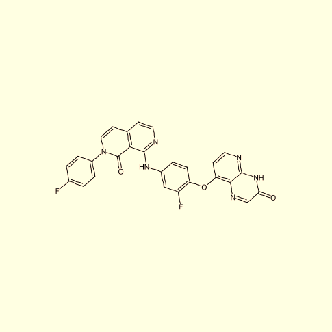 O=c1cnc2c(Oc3ccc(Nc4nccc5ccn(-c6ccc(F)cc6)c(=O)c45)cc3F)ccnc2[nH]1